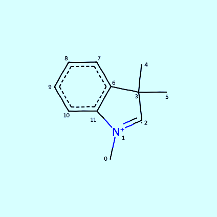 C[N+]1=[C]C(C)(C)c2ccccc21